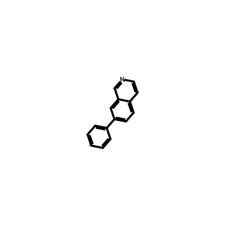 [c]1ccc(-c2ccc3ccncc3c2)cc1